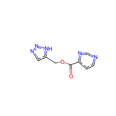 O=C(OCc1cnn[nH]1)c1ccncn1